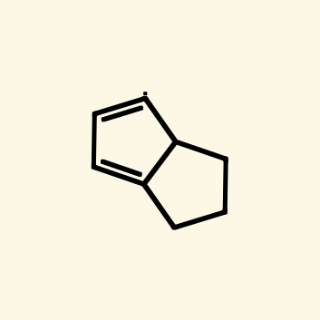 [C]1=CC=C2CCCC12